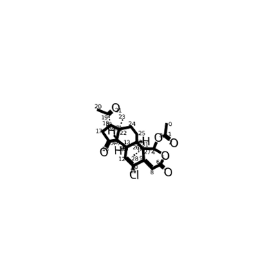 CC(=O)OC1OC(=O)C=C2C(Cl)=C[C@H]3[C@@H]4C(=O)C[C@H](C(C)=O)[C@@]4(C)CC[C@@H]3[C@]21C